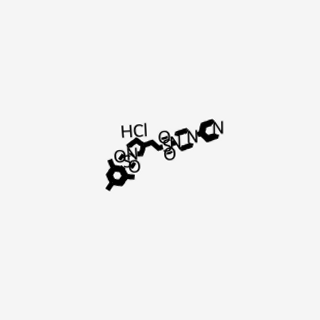 Cc1cc(C)c(S(=O)(=O)N2CCC(CCS(=O)(=O)N3CCN(c4ccncc4)CC3)C2)c(C)c1.Cl